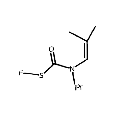 CC(C)=CN(C(=O)SF)C(C)C